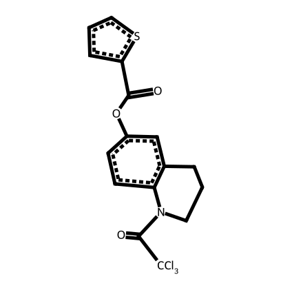 O=C(Oc1ccc2c(c1)CCCN2C(=O)C(Cl)(Cl)Cl)c1cccs1